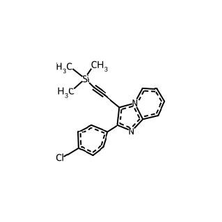 C[Si](C)(C)C#Cc1c(-c2ccc(Cl)cc2)nc2ccccn12